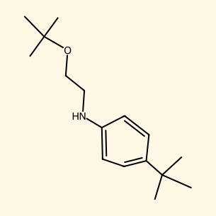 CC(C)(C)OCCNc1ccc(C(C)(C)C)cc1